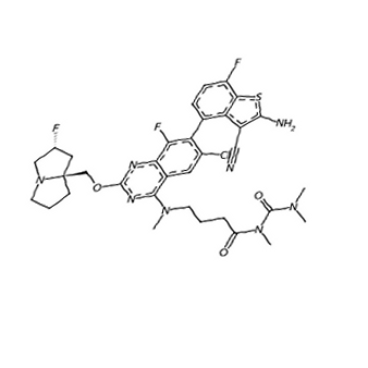 CN(C)C(=O)N(C)C(=O)CCCN(C)c1nc(OC[C@@]23CCCN2C[C@H](F)C3)nc2c(F)c(-c3ccc(F)c4sc(N)c(C#N)c34)c(Cl)cc12